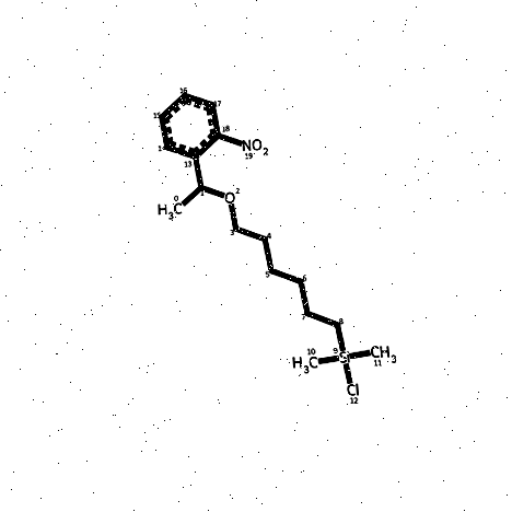 CC(OCCCCCC[Si](C)(C)Cl)c1ccccc1[N+](=O)[O-]